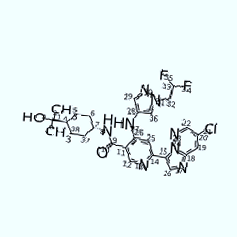 CC(C)(O)[C@H]1CC[C@H](NC(=O)c2cnc(-c3cnc4cc(Cl)cnn34)cc2Nc2cnn(CC(F)F)c2)CC1